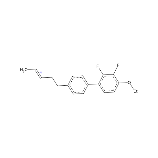 C/C=C/CCc1ccc(-c2ccc(OCC)c(F)c2F)cc1